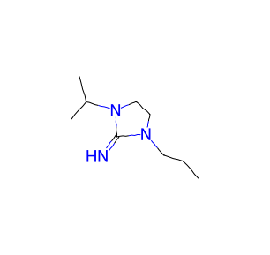 CCCN1CCN(C(C)C)C1=N